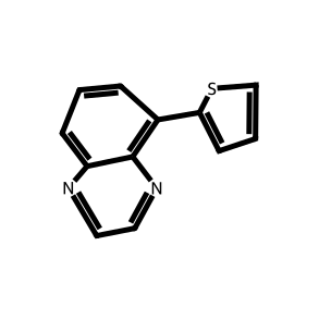 c1csc(-c2cccc3nccnc23)c1